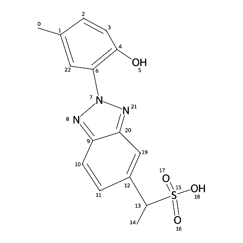 Cc1ccc(O)c(-n2nc3ccc(C(C)S(=O)(=O)O)cc3n2)c1